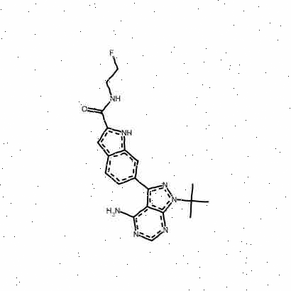 CC(C)(C)n1nc(-c2ccc3cc(C(=O)NCCF)[nH]c3c2)c2c(N)ncnc21